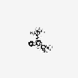 COC(=O)[C@H](CC(C)C)N1CC[C@@H](CNC(=O)OC(C)(C)C)N[C@@H](Cc2ccccc2)C1=O